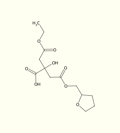 CCOC(=O)CC(O)(CC(=O)OCC1CCCO1)C(=O)O